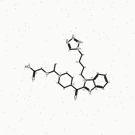 CC(OCC(=O)O)N1CCC(C(=O)c2nc3ccccc3n2CCCCn2cnnn2)CC1